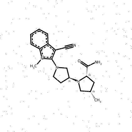 C[C@H]1C[C@@H](C(N)=O)N([C@H]2CCN(c3c(C#N)c4ccccc4n3C)C2)C1